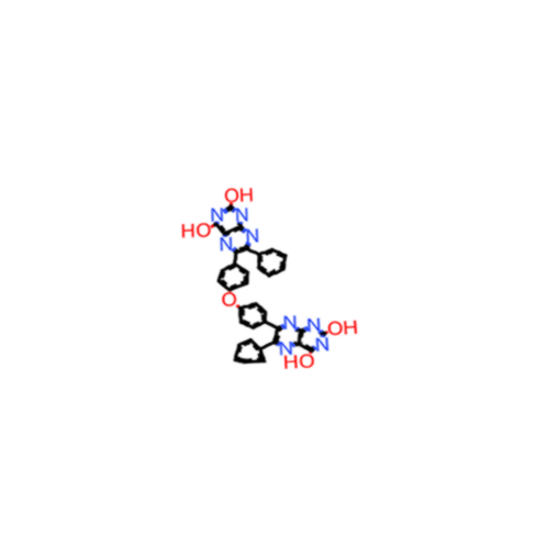 Oc1nc(O)c2nc(-c3ccccc3)c(-c3ccc(Oc4ccc(-c5nc6c(O)nc(O)nc6nc5-c5ccccc5)cc4)cc3)nc2n1